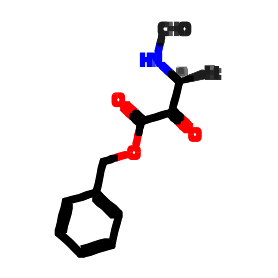 CC[C@H](NC=O)C(=O)C(=O)OCc1ccccc1